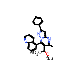 Cc1nc2cc(-c3ccccc3)nn2c(-c2cccc3ncccc23)c1C(OC(C)(C)C)C(=O)O